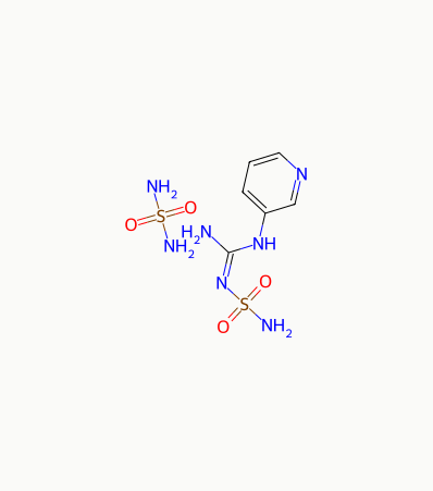 N/C(=N/S(N)(=O)=O)Nc1cccnc1.NS(N)(=O)=O